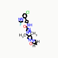 Cc1cc(N2C[C@H]3C[C@H]3C2=O)ncc1[C@H](C)n1cc(C(=O)NC2CC(c3cc(Cl)ccc3-n3cc(F)cn3)C2)nn1